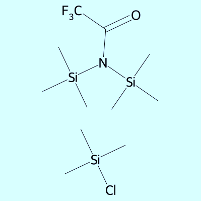 C[Si](C)(C)Cl.C[Si](C)(C)N(C(=O)C(F)(F)F)[Si](C)(C)C